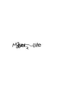 COCCCCCCc1ccc(C[C@H]2CCC[C@@]2(N)CO)cc1